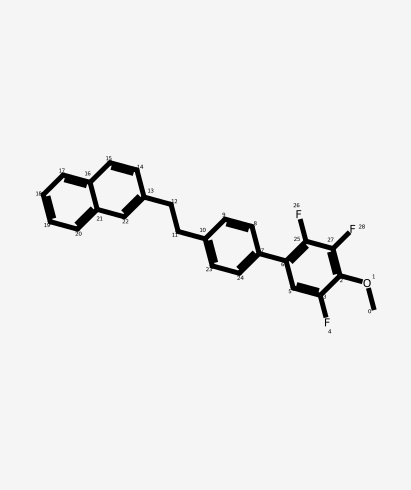 COc1c(F)cc(-c2ccc(CCc3ccc4ccccc4c3)cc2)c(F)c1F